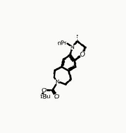 CCCN1c2cc3c(cc2OC[C@H]1C)CCN(C(=O)OC(C)(C)C)CC3